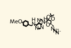 COc1ccc(CNc2ncnc3c2ncn3[C@@H]2O[C@H](CN=[N+]=[N-])C3OC(C)(C)O[C@@H]32)cc1